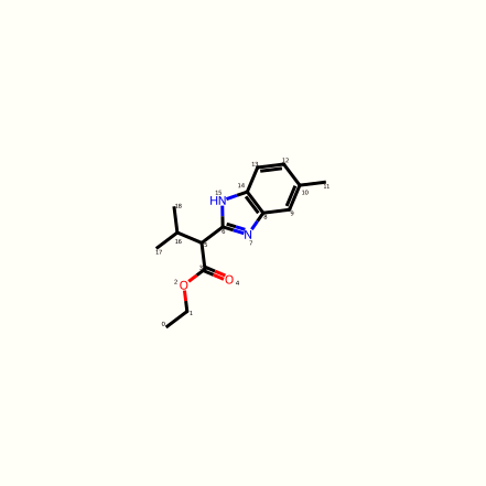 CCOC(=O)C(c1nc2cc(C)ccc2[nH]1)C(C)C